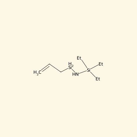 C=CC[SiH2]N[Si](CC)(CC)CC